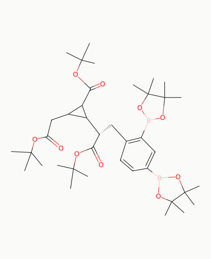 CC(C)(C)OC(=O)CC1C(C(=O)OC(C)(C)C)C1[C@H](Cc1ccc(B2OC(C)(C)C(C)(C)O2)cc1B1OC(C)(C)C(C)(C)O1)C(=O)OC(C)(C)C